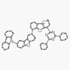 c1ccc(-c2nc(-c3ccccc3)nc(-c3cccc4c3oc3c(-c5ccc6oc7ccc(-n8c9ccccc9c9ccccc98)cc7c6c5)cccc34)n2)cc1